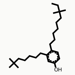 CCC(C)(C)CCCCCCc1ccc(O)cc1CCCCCC(C)(C)C